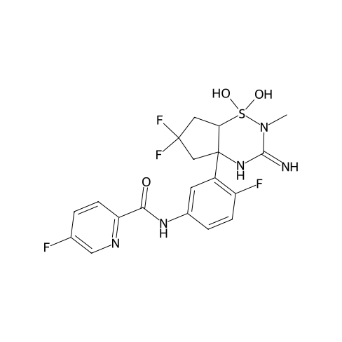 CN1C(=N)NC2(c3cc(NC(=O)c4ccc(F)cn4)ccc3F)CC(F)(F)CC2S1(O)O